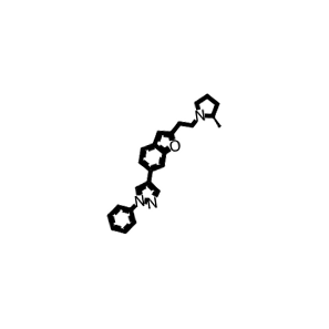 C[C@@H]1CCCN1CCc1cc2ccc(-c3cnn(-c4ccccc4)c3)cc2o1